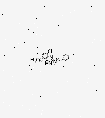 COc1ccc(Cl)c(/N=C2\NCCN2OCc2ccccc2)c1Cl